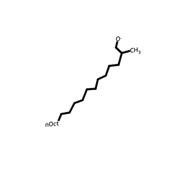 CCCCCCCCCCCCCCCCCCC(C)C[O]